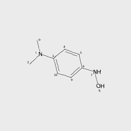 CN(C)c1ccc(NO)cc1